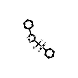 O=S(=O)(c1ccccc1)C(Br)(Br)c1nnc(-c2ccccc2)o1